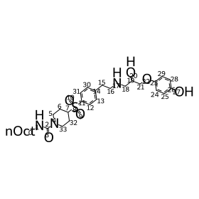 CCCCCCCCNC(=O)N1CCC(S(=O)(=O)c2ccc(CCNCC(O)COc3ccc(O)cc3)cc2)CC1